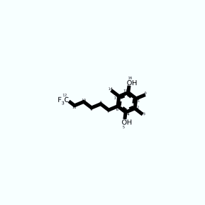 Cc1c(C)c(O)c(CCCCCC(F)(F)F)c(C)c1O